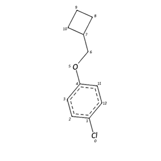 Clc1c[c]c(OCC2CCC2)cc1